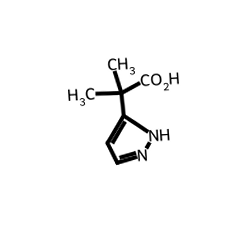 CC(C)(C(=O)O)c1ccn[nH]1